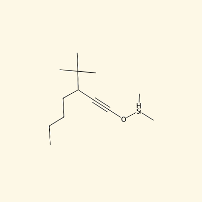 CCCCC(C#CO[SiH](C)C)C(C)(C)C